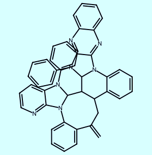 C=C1CC2c3ccccc3N3c4nc5ccccc5nc4N(c4ccccc4)C3C2C2N(c3ccccc3)c3cccnc3N2c2ccccc21